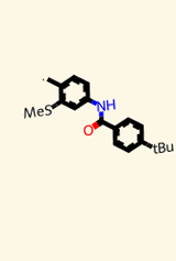 [CH2]c1ccc(NC(=O)c2ccc(C(C)(C)C)cc2)cc1SC